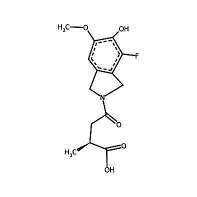 COc1cc2c(c(F)c1O)CN(C(=O)C[C@H](C)C(=O)O)C2